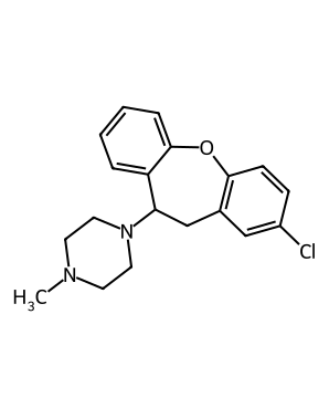 CN1CCN(C2Cc3cc(Cl)ccc3Oc3ccccc32)CC1